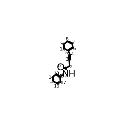 O=C(CC#Cc1ccccc1)Nc1ccccc1